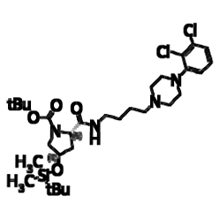 CC(C)(C)OC(=O)N1C[C@H](O[Si](C)(C)C(C)(C)C)C[C@H]1C(=O)NCCCCN1CCN(c2cccc(Cl)c2Cl)CC1